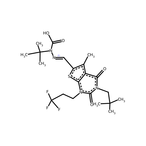 Cc1c(/C=N/N(C(=O)O)C(C)(C)C)sc2c1c(=O)n(CC(C)(C)C)c(=O)n2CCC(F)(F)F